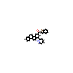 O=C(c1cc2ccccc2s1)C1C=c2c(ccc3c2=CCc2ccccc2-3)C(C2=CC=CC=CN2)C1